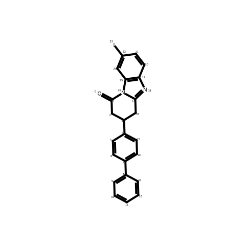 O=C1CC(c2ccc(-c3ccccc3)cc2)Cc2nc3ccc(I)cc3n21